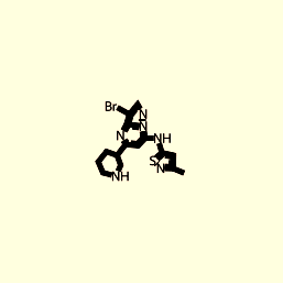 Cc1cc(Nc2cc(C3CCCNC3)nc3c(Br)cnn23)sn1